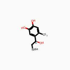 CNC[C@H](O)c1cc(O)c(O)cc1C(F)(F)F